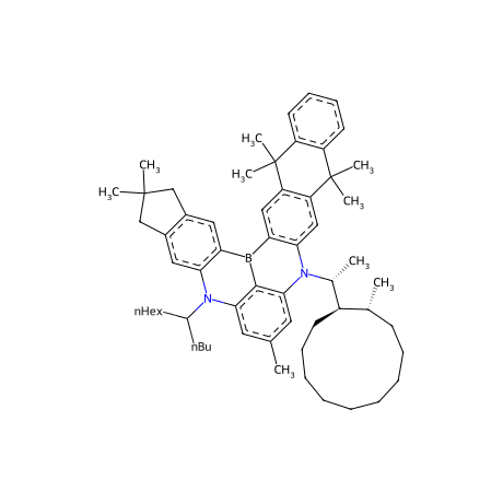 CCCCCCC(CCCC)N1c2cc3c(cc2B2c4cc5c(cc4N([C@H](C)[C@@H]4CCCCCCCCC[C@H]4C)c4cc(C)cc1c42)C(C)(C)c1ccccc1C5(C)C)CC(C)(C)C3